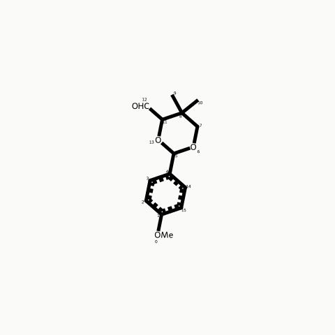 COc1ccc(C2OCC(C)(C)C(C=O)O2)cc1